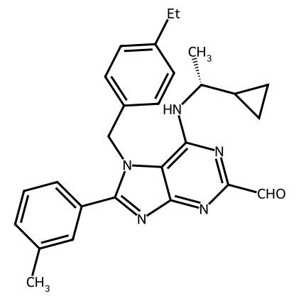 CCc1ccc(Cn2c(-c3cccc(C)c3)nc3nc(C=O)nc(N[C@H](C)C4CC4)c32)cc1